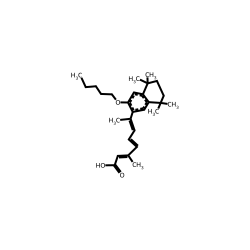 CCCCCOc1cc2c(cc1C(C)=CC=CC(C)=CC(=O)O)C(C)(C)CCC2(C)C